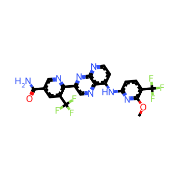 COc1nc(Nc2ccnc3nc(-c4ncc(C(N)=O)cc4C(F)(F)F)cnc23)ccc1C(F)(F)F